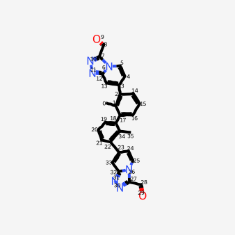 Cc1c(-c2ccn3c(C=O)nnc3c2)cccc1-c1cccc(-c2ccn3c(C=O)nnc3c2)c1C